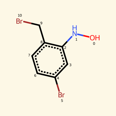 ONc1cc(Br)ccc1CBr